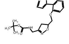 CC(C)(C)OC(=O)NCC1=NOC(COc2ccccc2-c2ccn[nH]2)C1